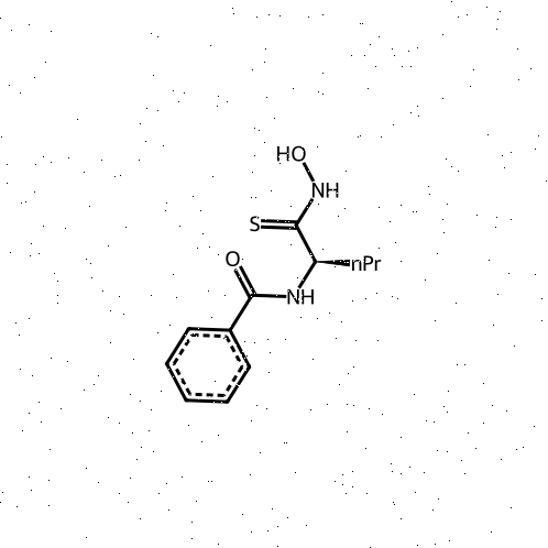 CCC[C@@H](NC(=O)c1ccccc1)C(=S)NO